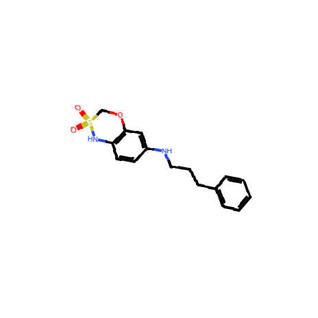 O=S1(=O)COc2cc(NCCCc3ccccc3)ccc2N1